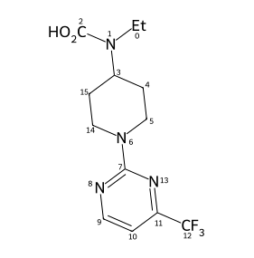 CCN(C(=O)O)C1CCN(c2nccc(C(F)(F)F)n2)CC1